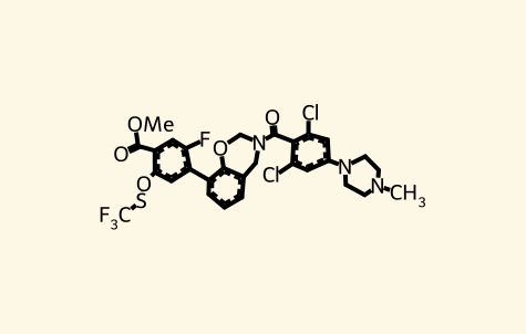 COC(=O)c1cc(F)c(-c2cccc3c2OCN(C(=O)c2c(Cl)cc(N4CCN(C)CC4)cc2Cl)C3)cc1OSC(F)(F)F